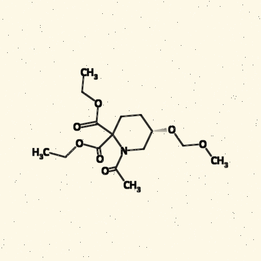 CCOC(=O)C1(C(=O)OCC)CC[C@H](OCOC)CN1C(C)=O